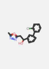 Cc1nnc(CC(O)c2cccc(-c3ccccc3Cl)c2)o1